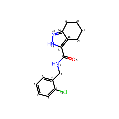 O=C(NCc1ccccc1Cl)c1[nH]nc2c1CCCC2